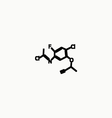 C#CC(C)Oc1cc(/N=C(\C)Cl)c(F)cc1Cl